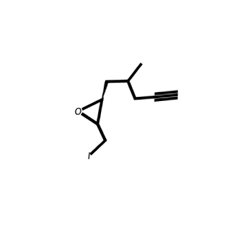 C#CCC(C)C[C@@H]1OC1CI